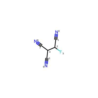 N#CC(F)C(C#N)C#N